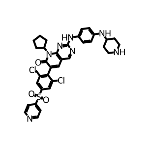 O=c1c(-c2c(Cl)cc(S(=O)(=O)c3ccncc3)cc2Cl)cc2cnc(Nc3ccc(NC4CCNCC4)cc3)nc2n1C1CCCC1